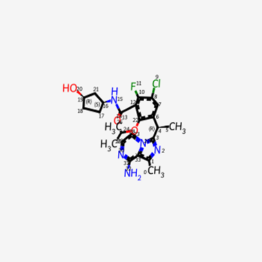 Cc1nc([C@H](C)c2cc(Cl)c(F)c(C(=O)N[C@H]3CC[C@@H](O)C3)c2OC(C)C)n2ccnc(N)c12